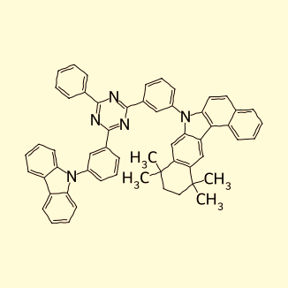 CC1(C)CCC(C)(C)c2cc3c(cc21)c1c2ccccc2ccc1n3-c1cccc(-c2nc(-c3ccccc3)nc(-c3cccc(-n4c5ccccc5c5ccccc54)c3)n2)c1